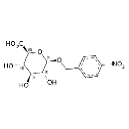 O=C(O)[C@H]1O[C@@H](OCc2ccc([N+](=O)[O-])cc2)[C@H](O)[C@@H](O)[C@@H]1O